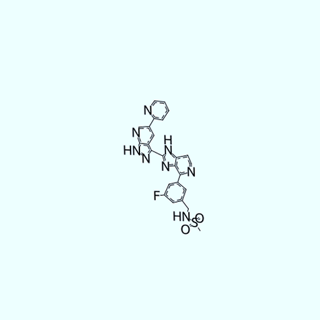 CS(=O)(=O)NCc1cc(F)cc(-c2nccc3[nH]c(-c4n[nH]c5ncc(-c6ccccn6)cc45)nc23)c1